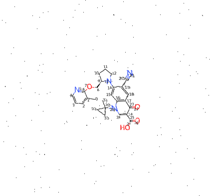 Cc1cccnc1OC[C@H]1CCCN1c1cc2c(cc1C#N)c(=O)c(C(=O)O)cn2C1(C)CC1